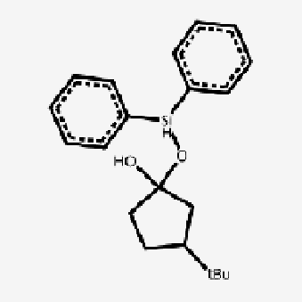 CC(C)(C)C1CCC(O)(O[SiH](c2ccccc2)c2ccccc2)C1